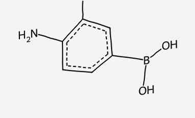 N#Cc1cc(B(O)O)ccc1N